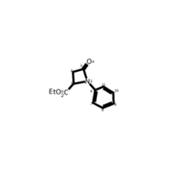 CCOC(=O)C1CC(=O)N1c1ccccc1